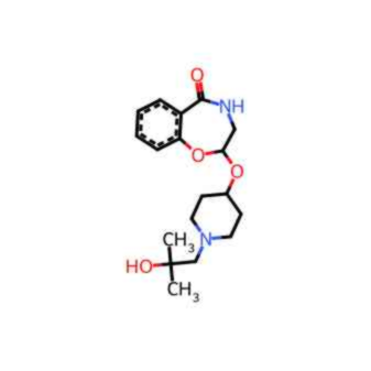 CC(C)(O)CN1CCC(OC2CNC(=O)c3ccccc3O2)CC1